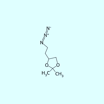 CC1(C)OCC(CCN=[N+]=[N-])O1